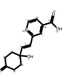 O=C1CCC(O)(/C=C/c2cc(C(=O)O)ccn2)CC1